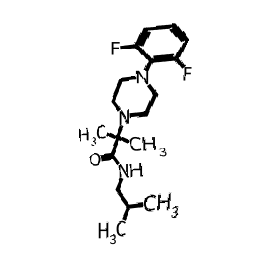 CC(C)CNC(=O)C(C)(C)N1CCN(c2c(F)cccc2F)CC1